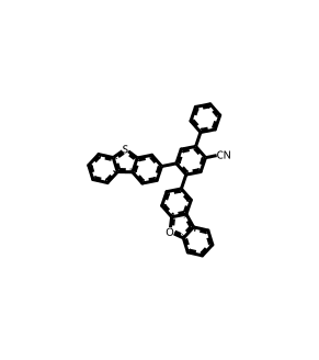 N#Cc1cc(-c2ccc3oc4ccccc4c3c2)c(-c2ccc3c(c2)sc2ccccc23)cc1-c1ccccc1